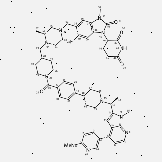 CNc1ccc(-c2ccnc3c2cc([C@H](C)N2CCC(c4ccc(C(=O)N5CCC(CN6CCN(Cc7cc8c(cc7F)n(C7CCC(=O)NC7=O)c(=O)n8C)C[C@@H]6C)CC5)cc4)CC2)n3C)cn1